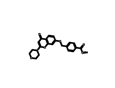 COC(=O)c1ccc(COc2ccc3c(=O)cc(N4CCOCC4)oc3c2)cc1